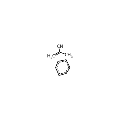 C=C(C)C#N.c1ccccc1